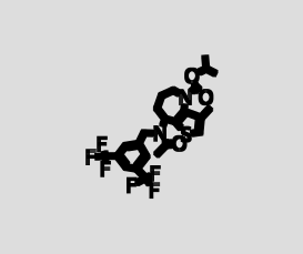 CC(=O)N(Cc1cc(C(F)(F)F)cc(C(F)(F)F)c1)C1CCCN(C(=O)OC(C)C)c2c(C)csc21